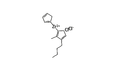 CCCCC1=CC[C]([Zr+2][C]2=CC=CC2)=C1C.[Cl-].[Cl-]